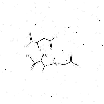 CCC(C)C(N)C(=O)O.NC(CC(=O)O)C(=O)O.NCC(=O)O